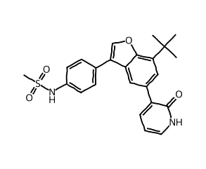 CC(C)(C)c1cc(-c2ccc[nH]c2=O)cc2c(-c3ccc(NS(C)(=O)=O)cc3)coc12